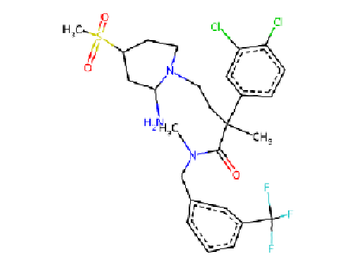 CN(Cc1cccc(C(F)(F)F)c1)C(=O)C(C)(CCN1CCC(S(C)(=O)=O)CC1N)c1ccc(Cl)c(Cl)c1